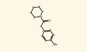 CC(C)c1ccc(CC(=O)N2CCCCC2)cc1